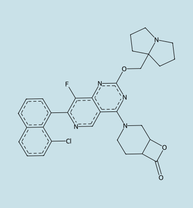 O=C1OC2CN(c3nc(OCC45CCCN4CCC5)nc4c(F)c(-c5cccc6cccc(Cl)c56)ncc34)CCC12